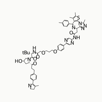 CC1=C(c2ccc(CCC(=O)[C@@H]3CC(O)CN3C(=O)[C@@H](NC(=O)COCCCOc3ccc(-c4cnc(NC(=O)CC5N=C(c6ccc(C)cc6)c6c(sc(C)c6C)-n6c(C)nnc65)cn4)cc3)C(C)(C)C)cc2)N=CC1